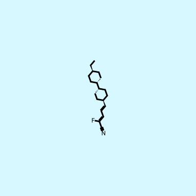 CC[C@H]1CC[C@H]([C@H]2CC[C@H](C=CC=C(F)C#N)CC2)CC1